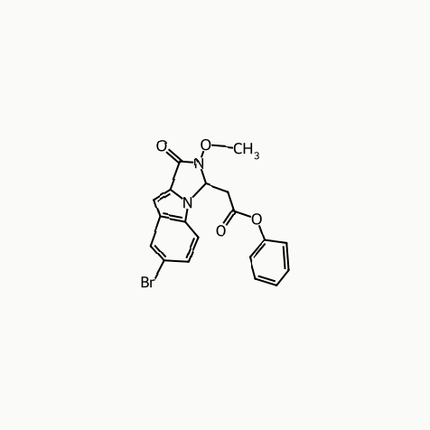 CON1C(=O)c2cc3cc(Br)ccc3n2C1CC(=O)Oc1ccccc1